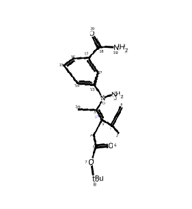 C=C(C)/C(CC(=O)OC(C)(C)C)=C(/C)N(N)c1cccc(C(N)=O)c1